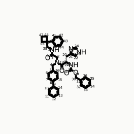 O=C(CN(Cc1ccc(-c2ccccc2)cc1)C(=O)[C@H](Cc1c[nH]cn1)NC(=O)OCc1ccccc1)NCC1(c2ccccc2)CCC1